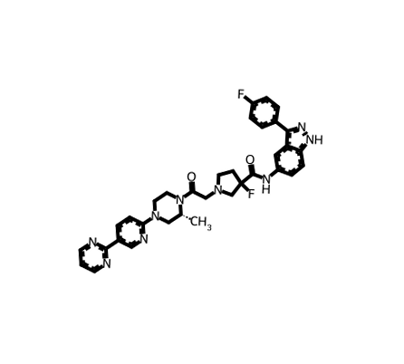 C[C@@H]1CN(c2ccc(-c3ncccn3)cn2)CCN1C(=O)CN1CCC(F)(C(=O)Nc2ccc3[nH]nc(-c4ccc(F)cc4)c3c2)C1